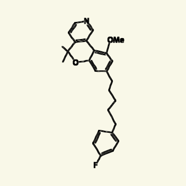 COc1cc(CCCCCc2ccc(F)cc2)cc2c1-c1cnccc1C(C)(C)O2